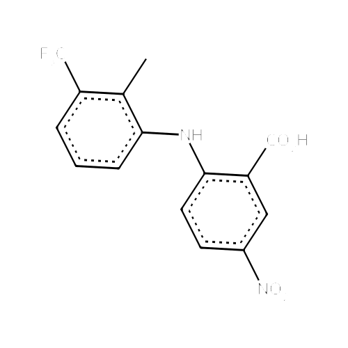 Cc1c(Nc2ccc([N+](=O)[O-])cc2C(=O)O)cccc1C(F)(F)F